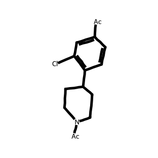 CC(=O)c1ccc(C2CCN(C(C)=O)CC2)c(Cl)c1